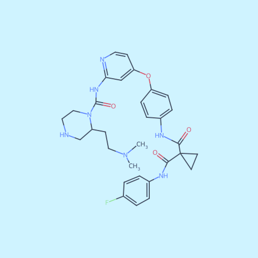 CN(C)CCC1CNCCN1C(=O)Nc1cc(Oc2ccc(NC(=O)C3(C(=O)Nc4ccc(F)cc4)CC3)cc2)ccn1